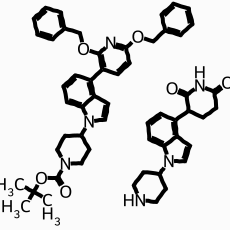 CC(C)(C)OC(=O)N1CCC(n2ccc3c(-c4ccc(OCc5ccccc5)nc4OCc4ccccc4)cccc32)CC1.O=C1CCC(c2cccc3c2ccn3C2CCNCC2)C(=O)N1